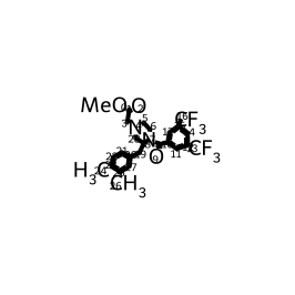 COC(=O)CN1CCN(C(=O)c2cc(C(F)(F)F)cc(C(F)(F)F)c2)C(Cc2ccc(C)c(C)c2)C1